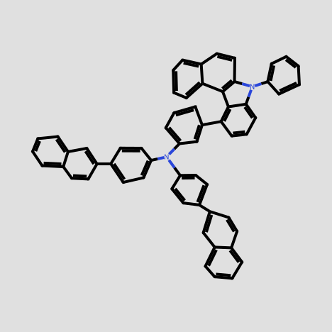 c1ccc(-n2c3cccc(-c4cccc(N(c5ccc(-c6ccc7ccccc7c6)cc5)c5ccc(-c6ccc7ccccc7c6)cc5)c4)c3c3c4ccccc4ccc32)cc1